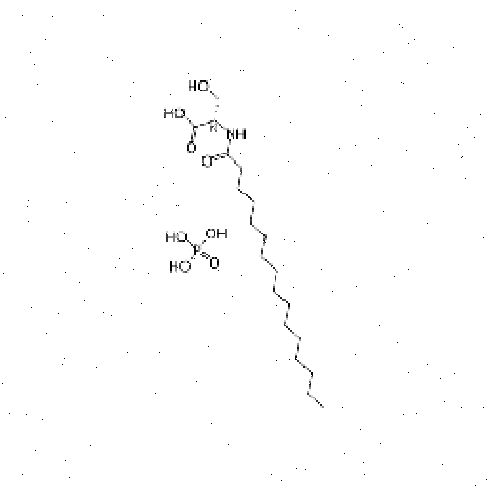 CCCCCCCCCCCCCCCC(=O)N[C@@H](CO)C(=O)O.O=P(O)(O)O